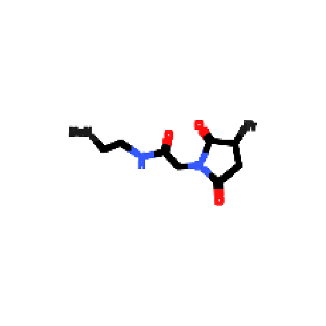 CNCCNC(=O)CN1C(=O)CC(C(C)C)C1=O